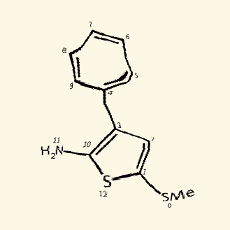 CSc1cc(-c2ccccc2)c(N)s1